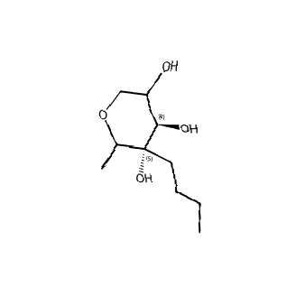 CCCC[C@@]1(O)C(C)OCC(O)[C@H]1O